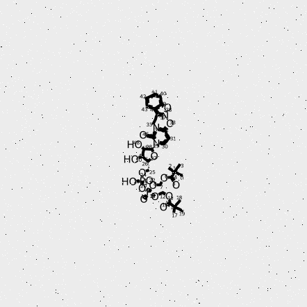 CC(C)(C)C(=O)OCOP(=O)(OCOC(=O)C(C)(C)C)OP(=O)(O)OC[C@H]1O[C@@H](n2ccc(=O)n(Cc3noc4ccccc34)c2=O)C(O)C1O